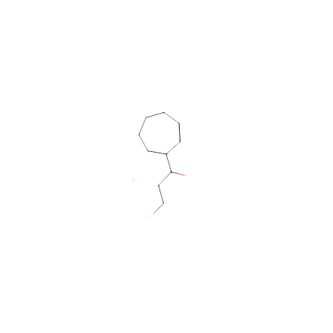 CC(C)C[C@H](Br)C(O)C1CCCCCC1